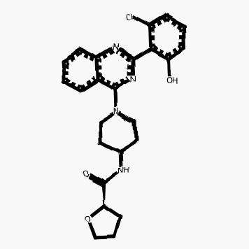 O=C(NC1CCN(c2nc(-c3c(O)cccc3Cl)nc3ccccc23)CC1)[C@H]1CCCO1